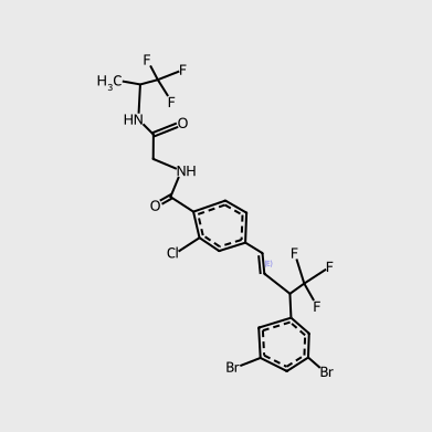 CC(NC(=O)CNC(=O)c1ccc(/C=C/C(c2cc(Br)cc(Br)c2)C(F)(F)F)cc1Cl)C(F)(F)F